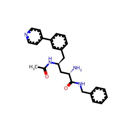 CC(=O)N[C@@H](Cc1cccc(-c2ccncc2)c1)C[C@H](N)C(=O)NCc1ccccc1